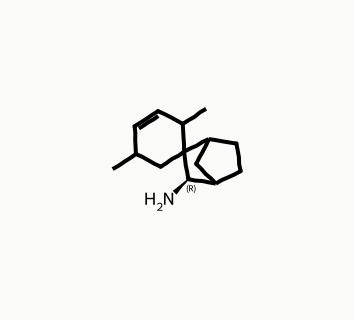 CC1C=CC(C)C2(C1)C1CCC(C1)[C@H]2N